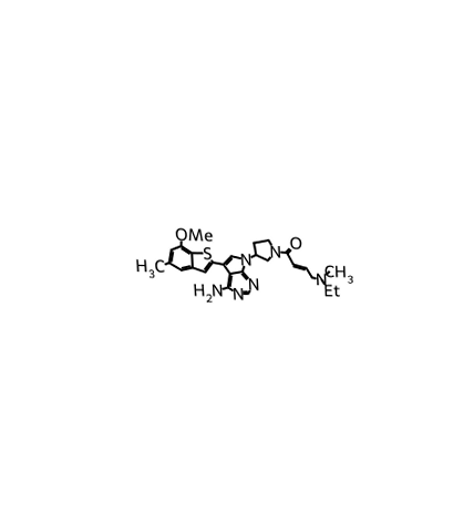 CCN(C)CC=CC(=O)N1CCC(n2cc(-c3cc4cc(C)cc(OC)c4s3)c3c(N)ncnc32)C1